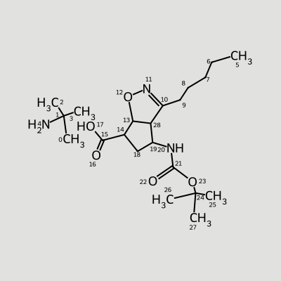 CC(C)(C)N.CCCCCC1=NOC2C(C(=O)O)CC(NC(=O)OC(C)(C)C)C12